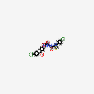 CC(C)(Oc1ccc(C(=O)c2ccc(Cl)cc2)cc1)C(=O)NNC(=O)c1nc(-c2ccc(Cl)cc2)cs1